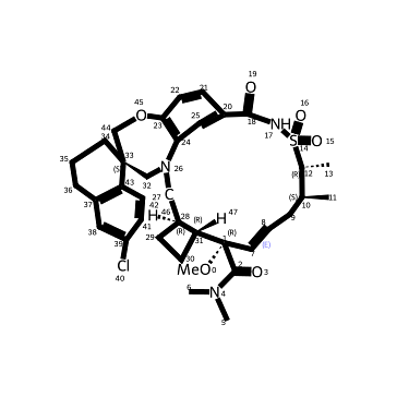 CO[C@@]1(C(=O)N(C)C)/C=C/C[C@H](C)[C@@H](C)S(=O)(=O)NC(=O)c2ccc3c(c2)N(C[C@@H]2CC[C@H]21)C[C@@]1(CCCc2cc(Cl)ccc21)CO3